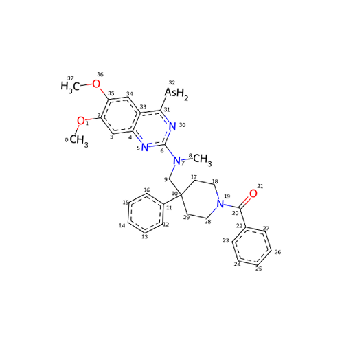 COc1cc2nc(N(C)CC3(c4ccccc4)CCN(C(=O)c4ccccc4)CC3)nc([AsH2])c2cc1OC